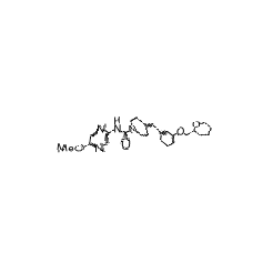 COc1cnc(NC(=O)N2CCC(=Cc3cccc(OCC4CCCCO4)c3)CC2)cn1